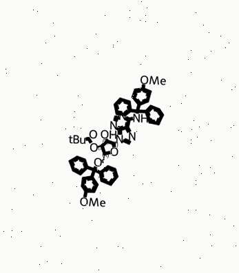 COc1ccc(C(Nc2ncnc3c2ncn3[C@@H]2O[C@H](COC(c3ccccc3)(c3ccccc3)c3ccc(OC)cc3)[C@@H](OC(=O)C(C)(C)C)[C@H]2O)(c2ccccc2)c2ccccc2)cc1